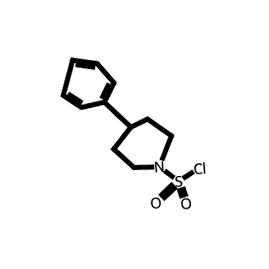 O=S(=O)(Cl)N1CCC(c2ccccc2)CC1